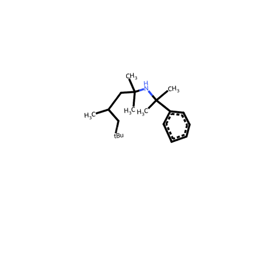 CC(CC(C)(C)C)CC(C)(C)NC(C)(C)c1ccccc1